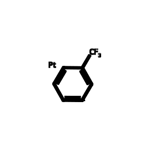 FC(F)(F)c1c[c]ccc1.[Pt]